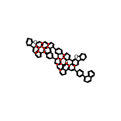 c1ccc(-c2cccc3c(-c4ccc5ccc(-c6ccccc6N(c6ccc(-c7ccc(-c8cccc9ccccc89)cc7)cc6)c6ccccc6-c6cccc7c6oc6ccccc67)cc5c4)cccc23)c(-c2ccccc2N(c2ccc(-c3ccc(-c4cccc5ccccc45)cc3)cc2)c2ccccc2-c2cccc3c2oc2ccccc23)c1